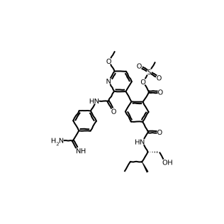 CC[C@H](C)[C@@H](CO)NC(=O)c1ccc(-c2ccc(OC)nc2C(=O)Nc2ccc(C(=N)N)cc2)c(C(=O)OS(C)(=O)=O)c1